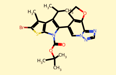 Cc1c(Br)sc2c1c(C(C)C)c(-c1cn3ncnc3c3c1CCO3)n2C(=O)OC(C)(C)C